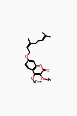 CCCCCCCCCCOc1c(OC(C)C)c(=O)oc2cc(OCC=C(C)CCC=C(C)C)ccc12